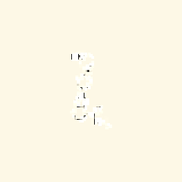 NC(=O)c1cccc2cn(-c3ccc([C@H]4CCCNC4)cc3)nc12